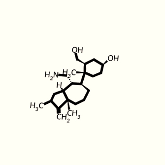 C=C1C(C)C[C@H]2[C@H](CN)[C@@H]([C@@]3(C)CC[C@H](O)C[C@@H]3CO)CCC[C@]12C